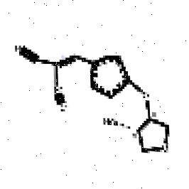 [C-]#[N+]/C(C#N)=C\c1ccc(O[C@H]2COC[C@@H]2O)cc1